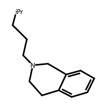 CC(C)CCCN1CCc2ccccc2C1